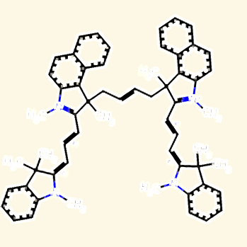 CN1/C(=C/C=C/C2=[N+](C)c3ccc4ccccc4c3C2(C)CC=CCC2(C)C(/C=C/C=C3/N(C)c4ccccc4C3(C)C)=[N+](C)c3ccc4ccccc4c32)C(C)(C)c2ccccc21